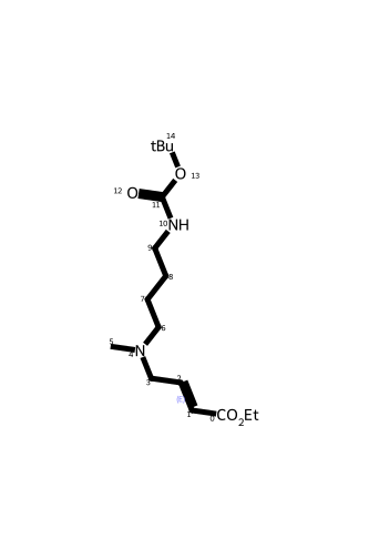 CCOC(=O)/C=C/CN(C)CCCCNC(=O)OC(C)(C)C